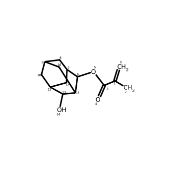 C=C(C)C(=O)OC1C2CC3CC(C2)C(O)C1C3